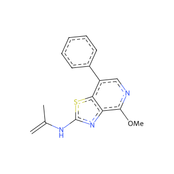 C=C(C)Nc1nc2c(OC)ncc(-c3ccccc3)c2s1